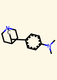 CN(C)c1ccc(C2CN3CCC2CC3)cc1